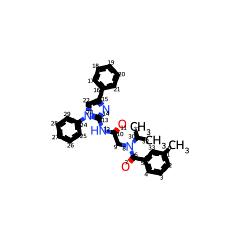 Cc1cccc(C(=O)N(CC(=O)Nc2nc(-c3ccccc3)cn2-c2ccccc2)C(C)C)c1